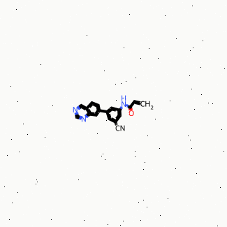 C=CC(=O)Nc1cc(C#N)cc(-c2ccc3cncnc3c2)c1